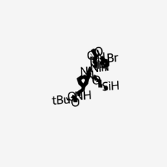 C[SiH](C)CCOCn1c(CNc2nc(S(C)(=O)=O)nc3c(Br)cnn23)nc2ccc(CCNC(=O)OC(C)(C)C)cc21